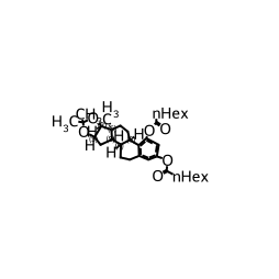 CCCCCCC(=O)Oc1cc2c(c(OC(=O)CCCCCC)c1)[C@H]1CC[C@@]3(C)[C@@H](C[C@@H]4OC(C)(C)O[C@@H]43)[C@H]1CC2